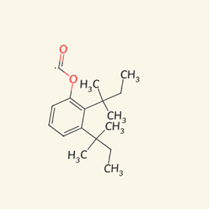 CCC(C)(C)c1cccc(O[C]=O)c1C(C)(C)CC